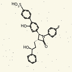 O=C1[C@H](CC[C@H](O)c2ccccc2)[C@@H](c2ccc(-c3ccc(S(=O)(=O)O)cc3)c(O)c2)N1c1ccc(F)cc1